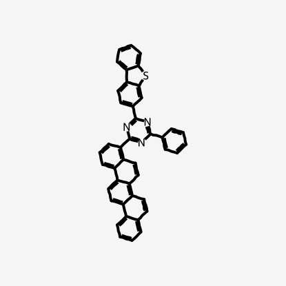 c1ccc(-c2nc(-c3ccc4c(c3)sc3ccccc34)nc(-c3cccc4c3ccc3c4ccc4c5ccccc5ccc43)n2)cc1